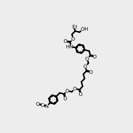 CCC(CO)COC(=O)Nc1ccc(CC(=O)OCOC(=O)CCCCC(=O)OCOC(=O)Cc2ccc(N=C=O)cc2)cc1